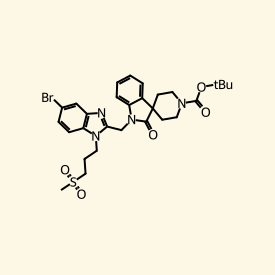 CC(C)(C)OC(=O)N1CCC2(CC1)C(=O)N(Cc1nc3cc(Br)ccc3n1CCCS(C)(=O)=O)c1ccccc12